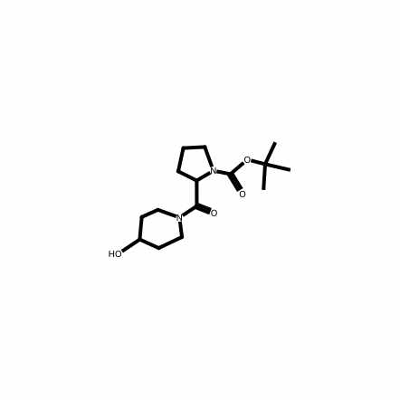 CC(C)(C)OC(=O)N1CCCC1C(=O)N1CCC(O)CC1